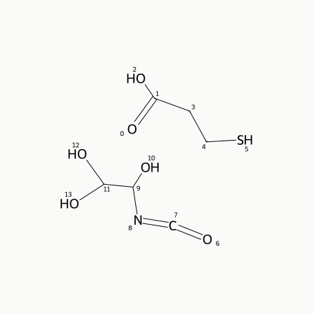 O=C(O)CCS.O=C=NC(O)C(O)O